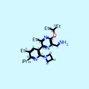 CCc1cc(-c2nc(CN)c(OC(CC)CC)nc2CC)c(N2CCC2)nc1C(C)C